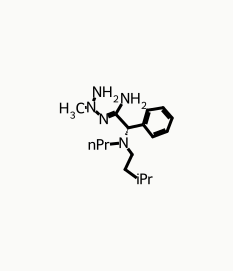 CCCN(CCC(C)C)[C@H](/C(N)=N/N(C)N)c1ccccc1